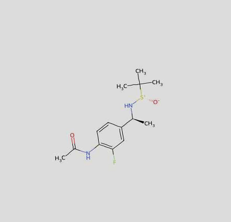 CC(=O)Nc1ccc([C@H](C)N[S@@+]([O-])C(C)(C)C)cc1F